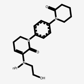 CCCN(CCO)C1=CCCN(c2ccc(N3CCCCC3=O)cc2)C1=O